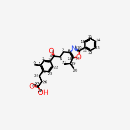 Cc1cc(C(=O)CCc2nc(-c3ccccc3)oc2C(C)C)ccc1CCC(=O)O